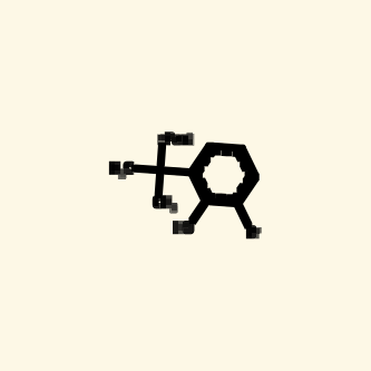 CCCCCC(C)(C)c1cccc(Br)c1O